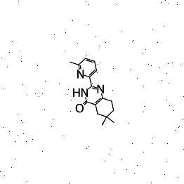 Cc1cccc(-c2nc3c(c(=O)[nH]2)CC(C)(C)CC3)n1